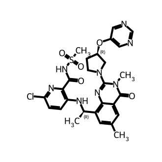 Cc1cc([C@@H](C)Nc2ccc(Cl)nc2C(=O)NS(C)(=O)=O)c2nc(N3CC[C@@H](Oc4cncnc4)C3)n(C)c(=O)c2c1